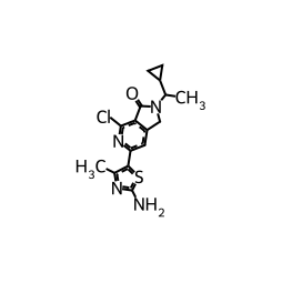 Cc1nc(N)sc1-c1cc2c(c(Cl)n1)C(=O)N(C(C)C1CC1)C2